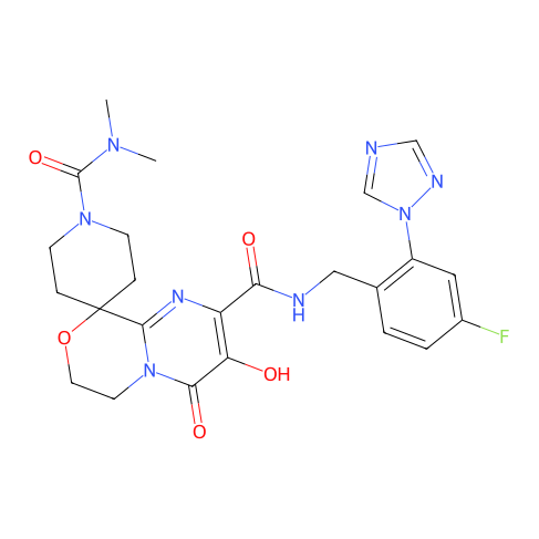 CN(C)C(=O)N1CCC2(CC1)OCCn1c2nc(C(=O)NCc2ccc(F)cc2-n2cncn2)c(O)c1=O